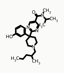 CCCC(C)CN1CCC(c2cccc(O)c2)(c2ncc(C(=O)N(C)C(C)C)cn2)CC1